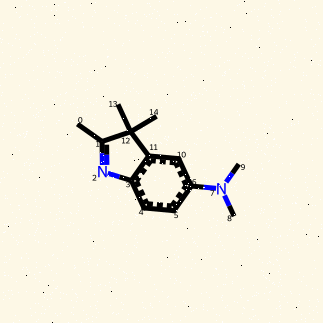 CC1=Nc2ccc(N(C)C)cc2C1(C)C